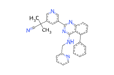 CC(C)(C#N)c1cncc(-c2nc(NCc3ccccn3)c3c(-c4ccccc4)cccc3n2)c1